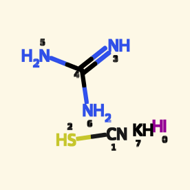 I.N#CS.N=C(N)N.[KH]